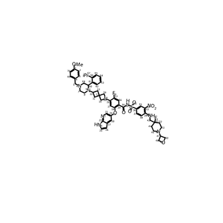 COc1ccc(CN2CCN(C3CC4(C3)CN(c3cc(Oc5cnc6[nH]ccc6c5)c(C(=O)NS(=O)(=O)c5ccc(NCC6(F)CCN(C7COC7)CC6)c([N+](=O)[O-])c5)cc3F)C4)C(c3ccccc3C(C)C)C2)cc1